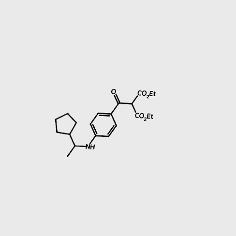 CCOC(=O)C(C(=O)OCC)C(=O)c1ccc(NC(C)C2CCCC2)cc1